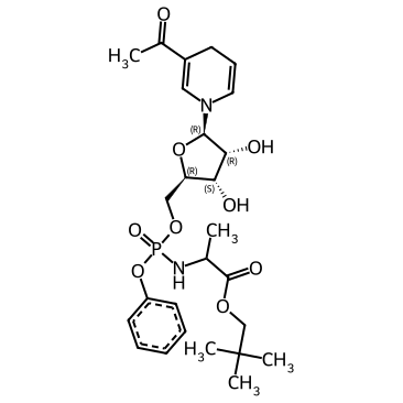 CC(=O)C1=CN([C@@H]2O[C@H](COP(=O)(NC(C)C(=O)OCC(C)(C)C)Oc3ccccc3)[C@@H](O)[C@H]2O)C=CC1